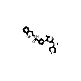 Cc1cnc(NC2CCOCC2)nc1-n1ccc(C(=O)NCCc2ccccc2O)c1